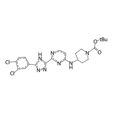 CC(C)(C)OC(=O)N1CCC(Nc2ccnc(-c3nnc(-c4ccc(Cl)c(Cl)c4)[nH]3)n2)CC1